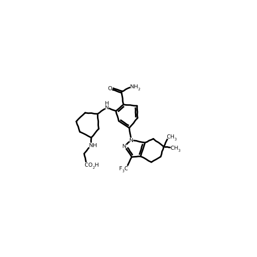 CC1(C)CCc2c(C(F)(F)F)nn(-c3ccc(C(N)=O)c(NC4CCCC(NCC(=O)O)C4)c3)c2C1